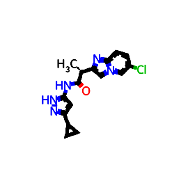 C[C@@H](C(=O)Nc1cc(C2CC2)n[nH]1)c1cn2cc(Cl)ccc2n1